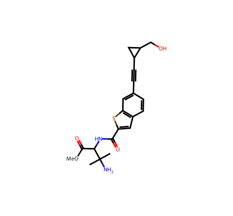 COC(=O)C(NC(=O)c1cc2ccc(C#CC3CC3CO)cc2s1)C(C)(C)N